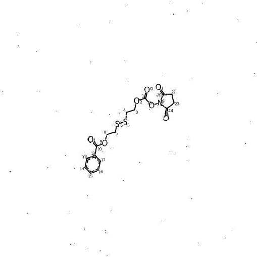 O=C(OCCSSCCOC(=O)c1ccccc1)ON1C(=O)CCC1=O